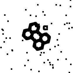 [C].c1cc2cccc3c4cccc5cccc(c(c1)c23)c54